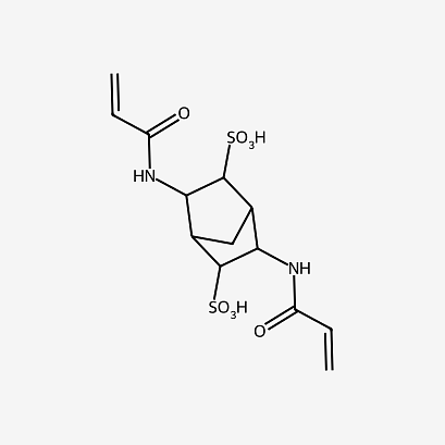 C=CC(=O)NC1C2CC(C(NC(=O)C=C)C2S(=O)(=O)O)C1S(=O)(=O)O